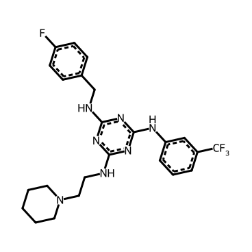 Fc1ccc(CNc2nc(NCCN3CCCCC3)nc(Nc3cccc(C(F)(F)F)c3)n2)cc1